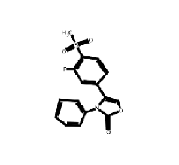 CS(=O)(=O)c1ccc(-c2coc(=O)n2-c2ccccc2)cc1F